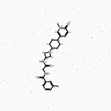 Cc1cccc(C(=O)NCC(=O)NC2CN(C3CCC(c4ccc(=O)n(C)c4)CC3)C2)c1